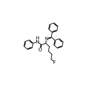 O=C(Nc1ccccc1)C(CCCCF)N=C(c1ccccc1)c1ccccc1